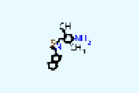 C#Cc1cc(N)c(C)cc1Cc1nc(-c2ccc3c(c2)CCCC3)cs1